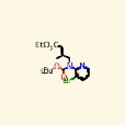 CCOC(=O)/C=C(\C)CN(C(=O)OC(C)(C)C)c1ncccc1Br